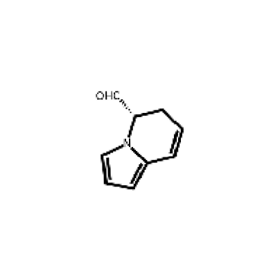 O=C[C@@H]1CC=Cc2cccn21